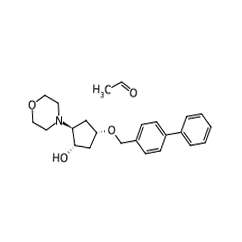 CC=O.O[C@H]1C[C@@H](OCc2ccc(-c3ccccc3)cc2)C[C@@H]1N1CCOCC1